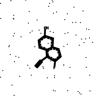 C#Cc1c(F)ccc2cc(O)ccc12